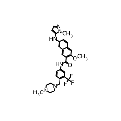 COc1cc2ccc(Nc3ccnn3C)cc2cc1C(=O)Nc1ccc(CN2CCN(C)CC2)c(C(F)(F)F)c1